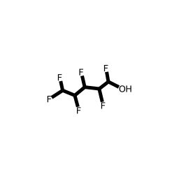 OC(F)C(F)C(F)C(F)C(F)F